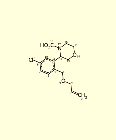 C=CCOCc1ccc(Cl)cc1C1COCCN1C(=O)O